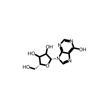 OC[C@H]1O[C@@H](n2cnc3c(O)ncnc32)C(O)C1O